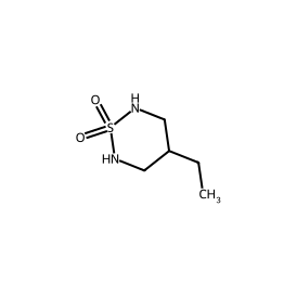 CCC1CNS(=O)(=O)NC1